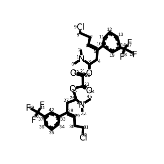 CN(C)C(CC(=CCCCl)c1cccc(C(F)(F)F)c1)OC(=O)C(=O)OC(CC(=CCCCl)c1cccc(C(F)(F)F)c1)N(C)C